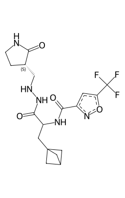 O=C(NC(CC12CC(C1)C2)C(=O)NNC[C@@H]1CCNC1=O)c1cc(C(F)(F)F)on1